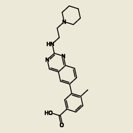 Cc1ccc(C(=O)O)cc1-c1ccc2nc(NCCN3CCCCC3)ncc2c1